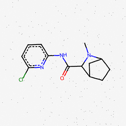 CN1C2CCC(C2)C1C(=O)Nc1cccc(Cl)n1